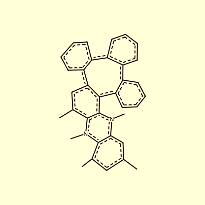 Cc1cc(C)c2c(c1)n(C)c1c3c4ccccc4c4ccccc4c4ccccc4c3cc(C)c1n2C